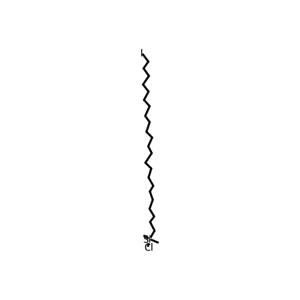 C[Si](C)(Cl)CCCCCCCCCCCCCCCCCCCCCCCI